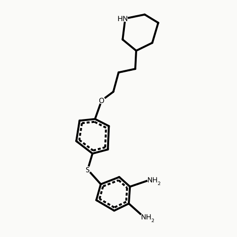 Nc1ccc(Sc2ccc(OCCCC3CCCNC3)cc2)cc1N